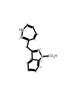 O=C(O)n1nc(CC2=NNC=CC=C2)c2ccccc21